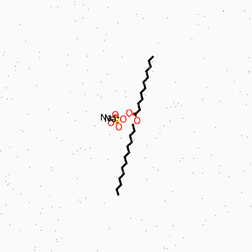 CCCCCCCCCCCCCCOC(=O)CCCCCCCCCCC.O=S(=O)([O-])[O-].[Na+].[Na+]